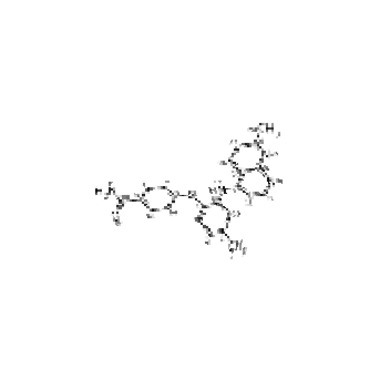 Cc1ccc(Sc2ccc(C(N)=O)cc2)c(Nc2ccnc3nc(C)ccc23)c1